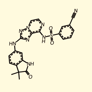 CC1(C)C(=O)Nc2cc(Nc3nc4c(NS(=O)(=O)c5cccc(C#N)c5)nccn4n3)ccc21